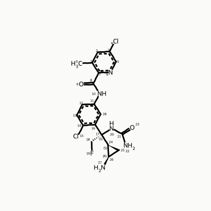 Cc1cc(Cl)cnc1C(=O)Nc1ccc(Cl)c([C@@](CF)(NC(N)=O)[C@H]2C[C@H]2N)c1